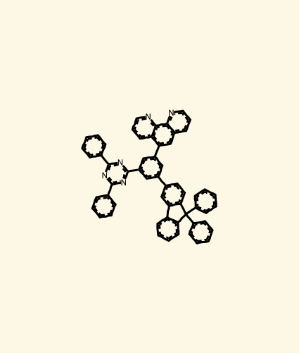 c1ccc(-c2nc(-c3ccccc3)nc(-c3cc(-c4ccc5c(c4)-c4ccccc4C5(c4ccccc4)c4ccccc4)cc(-c4cc5cccnc5c5ncccc45)c3)n2)cc1